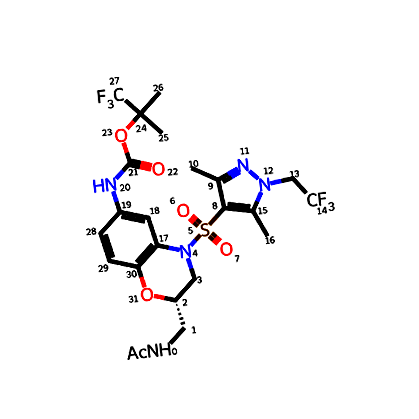 CC(=O)NC[C@H]1CN(S(=O)(=O)c2c(C)nn(CC(F)(F)F)c2C)c2cc(NC(=O)OC(C)(C)C(F)(F)F)ccc2O1